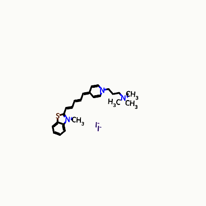 C[n+]1c(C=CC=CC=C2C=CN(CCC[N+](C)(C)C)C=C2)sc2ccccc21.[I-].[I-]